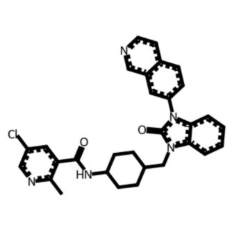 Cc1ncc(Cl)cc1C(=O)NC1CCC(Cn2c(=O)n(-c3ccc4ccncc4c3)c3ccccc32)CC1